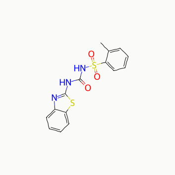 Cc1ccccc1S(=O)(=O)NC(=O)Nc1nc2ccccc2s1